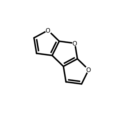 c1cc2c(o1)oc1occc12